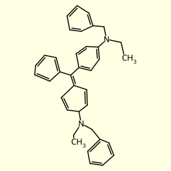 CCN(Cc1ccccc1)c1ccc(C(=C2C=CC(N(CC)Cc3ccccc3)C=C2)c2ccccc2)cc1